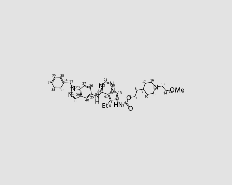 CCc1c(NC(=O)OCCC2CCN(CCOC)CC2)cn2ncnc(Nc3ccc4c(cnn4Cc4ccccc4)c3)c12